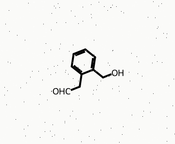 O=[C]Cc1ccccc1CO